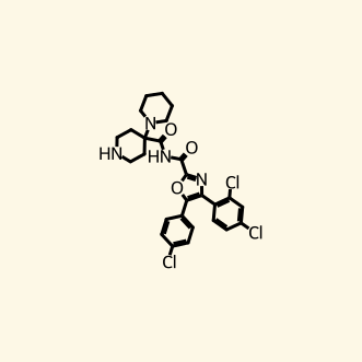 O=C(NC(=O)C1(N2CCCCC2)CCNCC1)c1nc(-c2ccc(Cl)cc2Cl)c(-c2ccc(Cl)cc2)o1